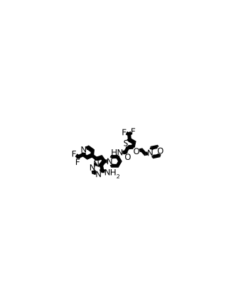 Nc1ncnn2c(-c3ccnc(C(F)F)c3)cc(N3CCCC(NC(=O)c4sc(C(F)F)cc4OCCN4CCOCC4)C3)c12